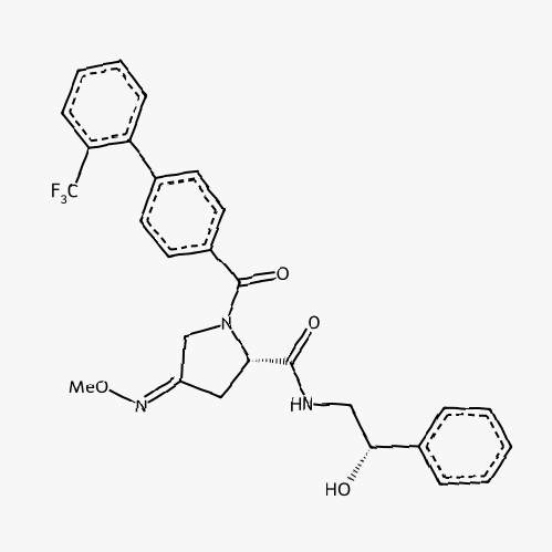 CON=C1C[C@@H](C(=O)NC[C@@H](O)c2ccccc2)N(C(=O)c2ccc(-c3ccccc3C(F)(F)F)cc2)C1